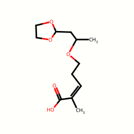 CC(=CCCOC(C)CC1OCCO1)C(=O)O